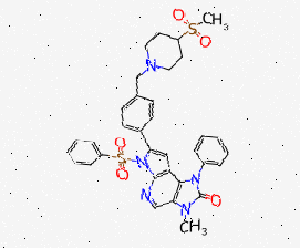 Cn1c(=O)n(-c2ccccc2)c2c3cc(-c4ccc(CN5CCC(S(C)(=O)=O)CC5)cc4)n(S(=O)(=O)c4ccccc4)c3ncc21